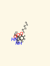 CCCCCCOc1cccc2c1C(OC)(OC)NC2=N